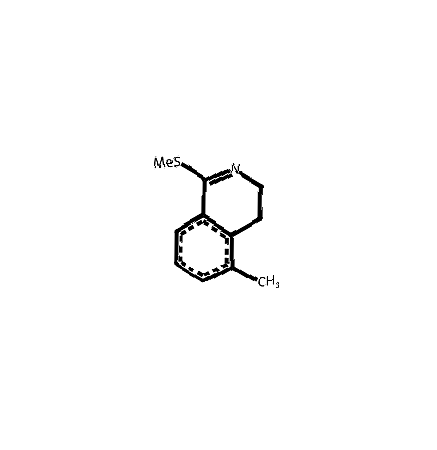 CSC1=NCCc2c(C)cccc21